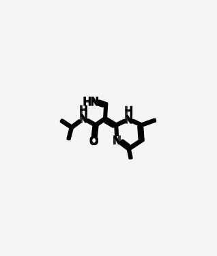 CC1=CC(C)=N/C(=C(/C=N)C(=O)NC(C)C)N1